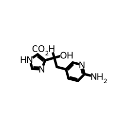 Nc1ccc(CC(O)(C(=O)O)c2c[nH]cn2)cn1